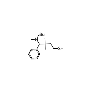 CCC(C)N(C)C(c1ccccc1)C(C)(C)CCS